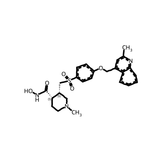 Cc1cc(COc2ccc(S(=O)(=O)C[C@@H]3CN(C)CC[C@@H]3C(=O)NO)cc2)c2ccccc2n1